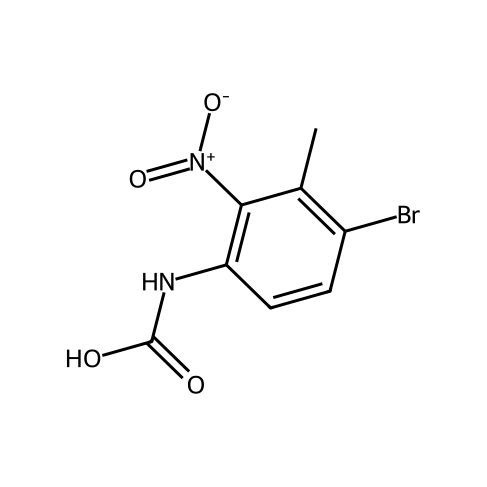 Cc1c(Br)ccc(NC(=O)O)c1[N+](=O)[O-]